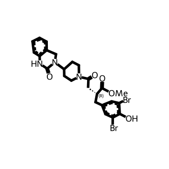 COC(=O)[C@@H](CC(=O)N1CCC(N2Cc3ccccc3NC2=O)CC1)Cc1cc(Br)c(O)c(Br)c1